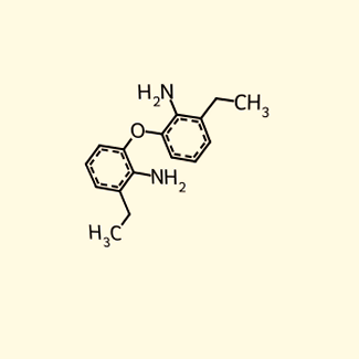 CCc1cccc(Oc2cccc(CC)c2N)c1N